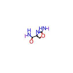 O=C(NI)c1coc(NI)n1